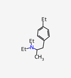 CCc1ccc(CC(C)N(CC)CC)cc1